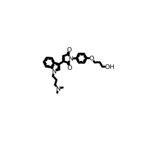 CN(C)CCCn1cc(C2=CC(=O)N(c3ccc(OCCCO)cc3)C2=O)c2ccccc21